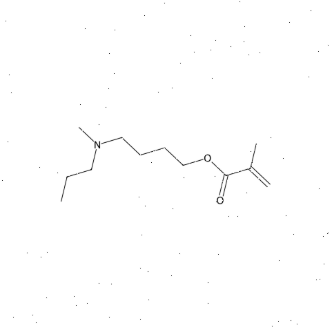 C=C(C)C(=O)OCCCCN(C)CCC